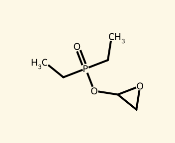 CCP(=O)(CC)OC1CO1